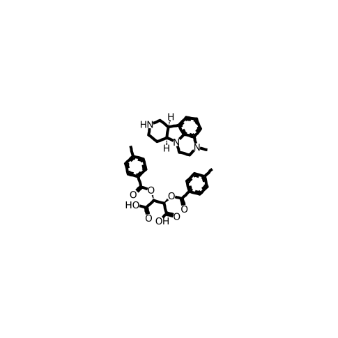 CN1CCN2c3c(cccc31)[C@@H]1CNCC[C@@H]12.Cc1ccc(C(=O)O[C@@H](C(=O)O)[C@@H](OC(=O)c2ccc(C)cc2)C(=O)O)cc1